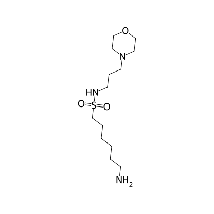 NCCCCCCS(=O)(=O)NCCCN1CCOCC1